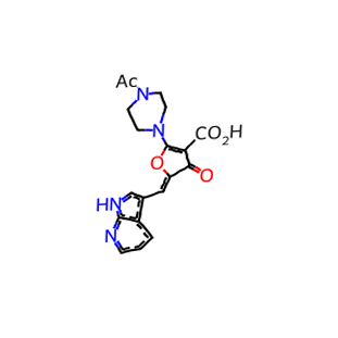 CC(=O)N1CCN(C2=C(C(=O)O)C(=O)/C(=C/c3c[nH]c4ncccc34)O2)CC1